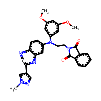 COc1cc(OC)cc(N(CCN2C(=O)c3ccccc3C2=O)c2ccc3ncc(-c4cnn(C)c4)nc3c2)c1